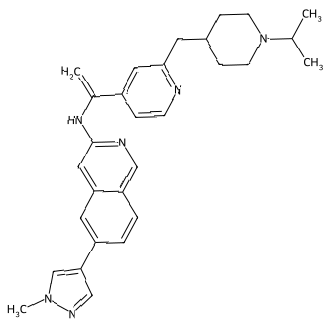 C=C(Nc1cc2cc(-c3cnn(C)c3)ccc2cn1)c1ccnc(CC2CCN(C(C)C)CC2)c1